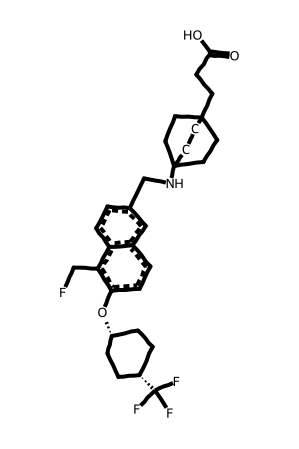 O=C(O)CCC12CCC(NCc3ccc4c(CF)c(O[C@H]5CC[C@@H](C(F)(F)F)CC5)ccc4c3)(CC1)CC2